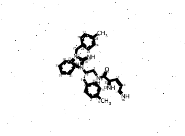 Cc1ccc(C[C@@H](CNC(=O)C(=N)/C=C\C=N)n2c(=N)n(Cc3ccc(C)cc3)c3ccccc32)cc1